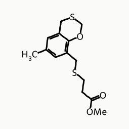 COC(=O)CCSCc1cc(C)cc2c1OCSC2